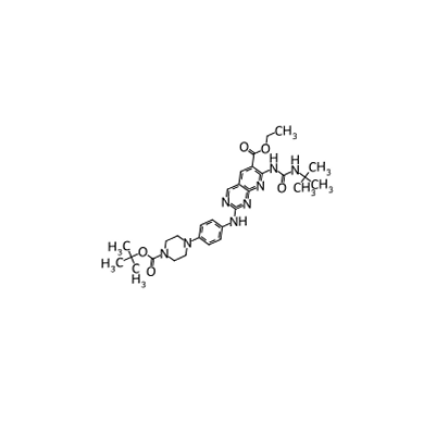 CCOC(=O)c1cc2cnc(Nc3ccc(N4CCN(C(=O)OC(C)(C)C)CC4)cc3)nc2nc1NC(=O)NC(C)(C)C